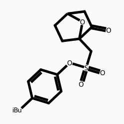 CCC(C)c1ccc(OS(=O)(=O)CC23CCC(CC2=O)O3)cc1